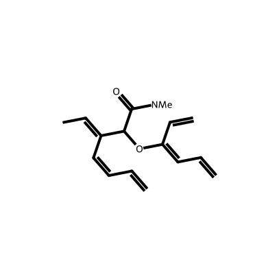 C=C/C=C\C(=C/C)C(O/C(C=C)=C/C=C)C(=O)NC